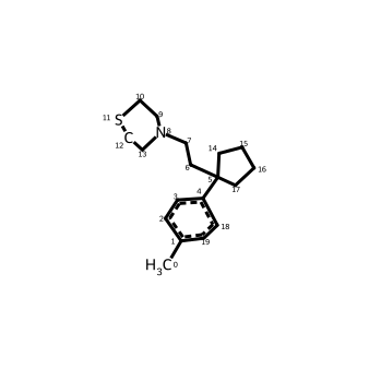 Cc1ccc(C2(CCN3CCSCC3)CCCC2)cc1